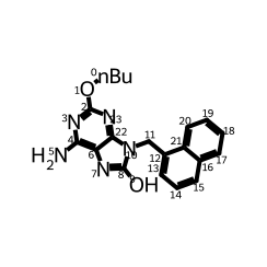 CCCCOc1nc(N)c2nc(O)n(Cc3cccc4ccccc34)c2n1